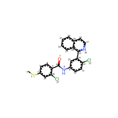 CSc1ccc(C(=O)Nc2ccc(Cl)c(-c3nccc4ccccc34)c2)c(Cl)c1